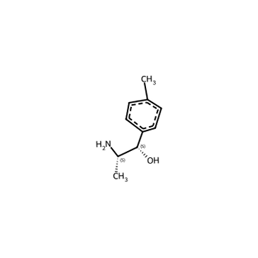 Cc1ccc([C@H](O)[C@H](C)N)cc1